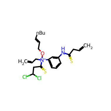 C=CCC(=S)Nc1cccc([N+](CC=C)(OCC=CCCCC)C(=S)CC(Cl)Cl)c1